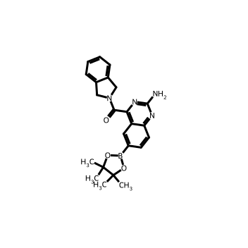 CC1(C)OB(c2ccc3nc(N)nc(C(=O)N4Cc5ccccc5C4)c3c2)OC1(C)C